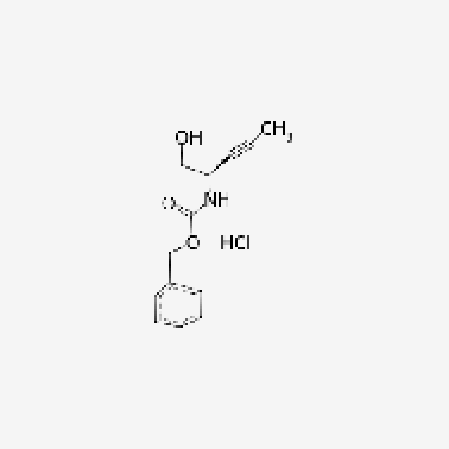 CC#C[C@H](CO)NC(=O)OCc1ccccc1.Cl